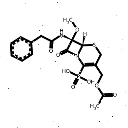 CO[C@@]1(NC(=O)Cc2ccccc2)C(=O)N2C(P(=O)(O)O)=C(COC(C)=O)CS[C@H]21